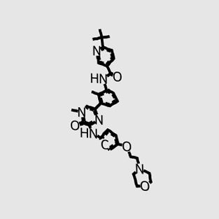 Cc1c(NC(=O)c2ccc(C(C)(C)C)nc2)cccc1-c1cn(C)c(=O)c(Nc2ccc(OCCN3CCOCC3)cc2)n1